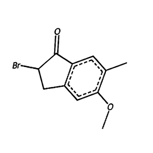 COc1cc2c(cc1C)C(=O)C(Br)C2